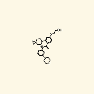 C=C(Nc1cccc(N2CCOCC2)n1)c1ccc(SCCO)cc1N1CCC2(CC1)CC2